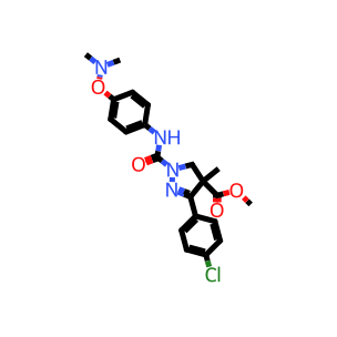 COC(=O)C1(C)CN(C(=O)Nc2ccc(ON(C)C)cc2)N=C1c1ccc(Cl)cc1